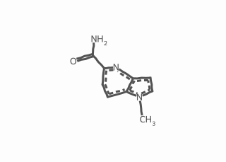 Cn1ccc2nc(C(N)=O)ccc21